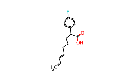 C=C/C=C/CCCC(C(=O)O)c1ccc(F)cc1